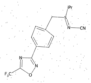 CC(C)S(Cc1ccc(-c2noc(C(F)(F)F)n2)cc1)=NC#N